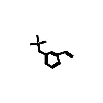 C=Cc1cccc(C[N+](C)(C)C)c1